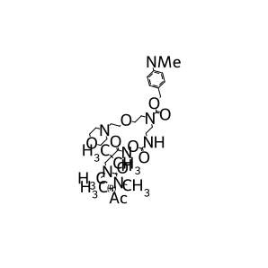 CNc1ccc(COC(=O)N(CCNC(=O)ONC(=O)C(C)(C)CN(C)C(=O)N(C)[C@H](C)C(C)=O)CCOCCN2CCOCC2)cc1